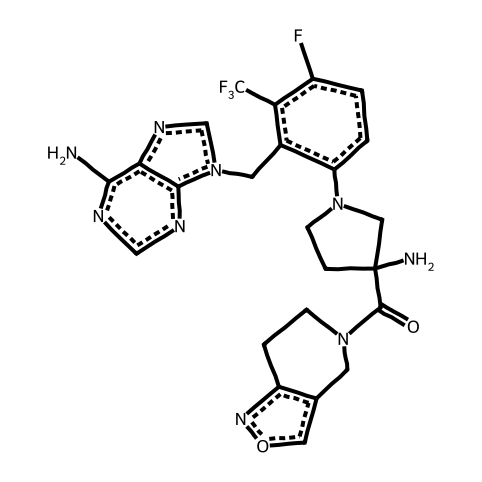 Nc1ncnc2c1ncn2Cc1c(N2CCC(N)(C(=O)N3CCc4nocc4C3)C2)ccc(F)c1C(F)(F)F